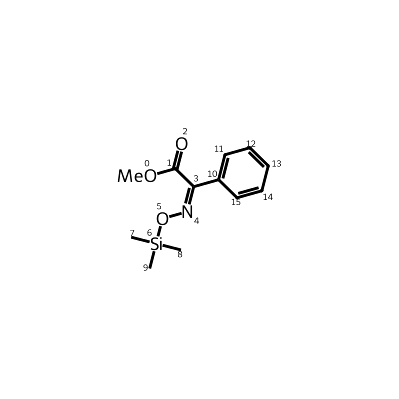 COC(=O)C(=NO[Si](C)(C)C)c1ccccc1